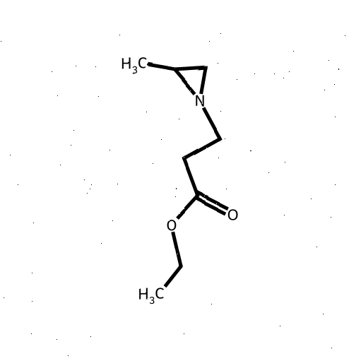 CCOC(=O)CCN1CC1C